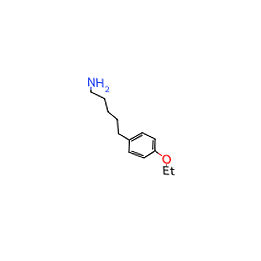 CCOc1ccc(CCCCCN)cc1